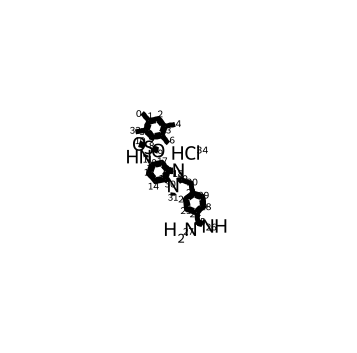 Cc1cc(C)c(C)c(S(=O)(=O)Nc2ccc3c(c2)nc(Cc2ccc(C(=N)N)cc2)n3C)c1C.Cl